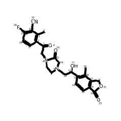 Cc1c(C(=O)CN2CCN(C[C@@H](O)c3ccc4c(c3C)COC4=O)CC2=O)ccc(F)c1C#N